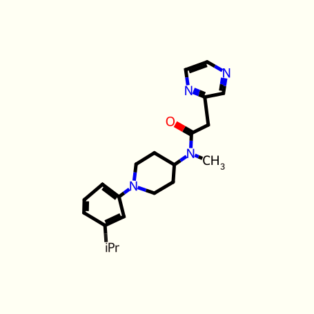 CC(C)c1cccc(N2CCC(N(C)C(=O)Cc3cnccn3)CC2)c1